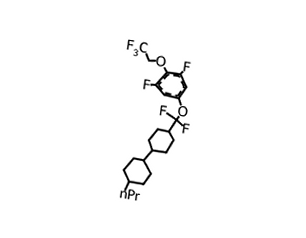 CCCC1CCC(C2CCC(C(F)(F)Oc3cc(F)c(OCC(F)(F)F)c(F)c3)CC2)CC1